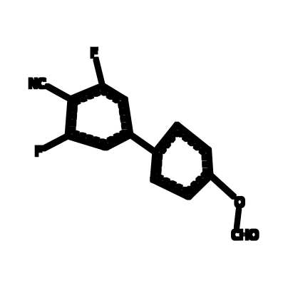 N#Cc1c(F)cc(-c2ccc(OC=O)cc2)cc1F